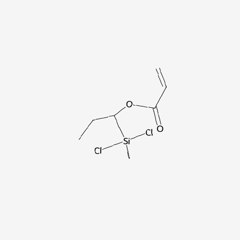 C=CC(=O)OC(CC)[Si](C)(Cl)Cl